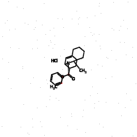 CCOC(=O)C1CC23CCCCC2=CC1N(Cc1ccccc1)C3C.Cl